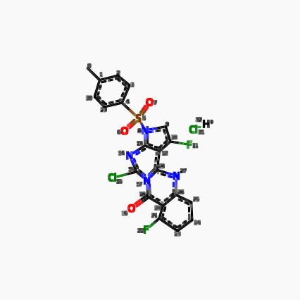 Cc1ccc(S(=O)(=O)n2cc(F)c3c2nc(Cl)n2c(=O)c4c(F)cccc4nc32)cc1.[Cl-].[H+]